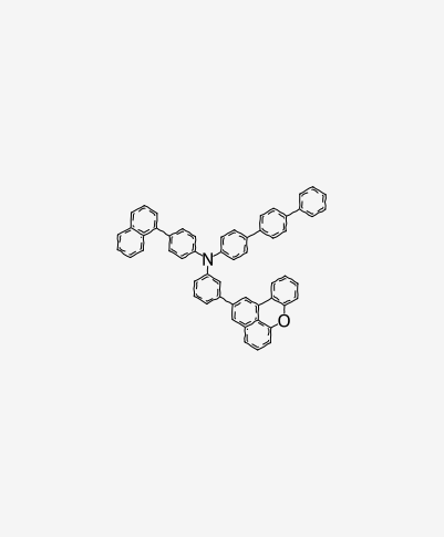 c1ccc(-c2ccc(-c3ccc(N(c4ccc(-c5cccc6ccccc56)cc4)c4cccc(-c5cc6c7c(cccc7c5)Oc5ccccc5-6)c4)cc3)cc2)cc1